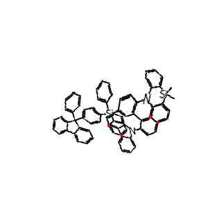 C[Si]1(C)c2ccccc2N(c2ccc([Si](c3ccccc3)(c3ccccc3)c3ccc(C4(c5ccccc5)c5ccccc5-c5ccccc54)cc3)cc2-c2ccccc2-n2c3ccccc3c3ccccc32)c2ccccc21